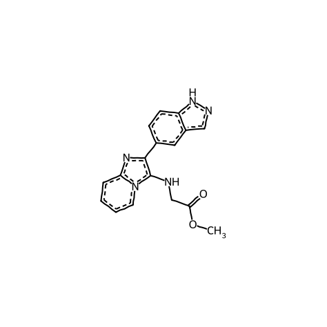 COC(=O)CNc1c(-c2ccc3[nH]ncc3c2)nc2ccccn12